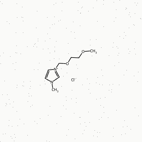 COCCOC[n+]1ccn(C)c1.[Cl-]